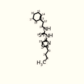 CCCCc1nc(NC(=S)NCCC2=CCCCC2)cs1